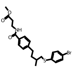 COC(=O)CCNC(=O)c1ccc(CCC(C)CSc2ccc(Br)cc2)cc1